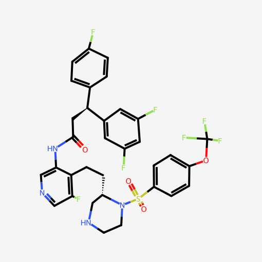 O=C(C[C@@H](c1ccc(F)cc1)c1cc(F)cc(F)c1)Nc1cncc(F)c1CC[C@H]1CNCCN1S(=O)(=O)c1ccc(OC(F)(F)F)cc1